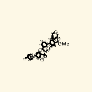 COC(=O)c1cc(F)c(-c2cccc3c2OCN(C(=O)c2c(Cl)cc(N4CC5CCC4CN5C)cc2Cl)C3)cc1N1C2CCC1COC2